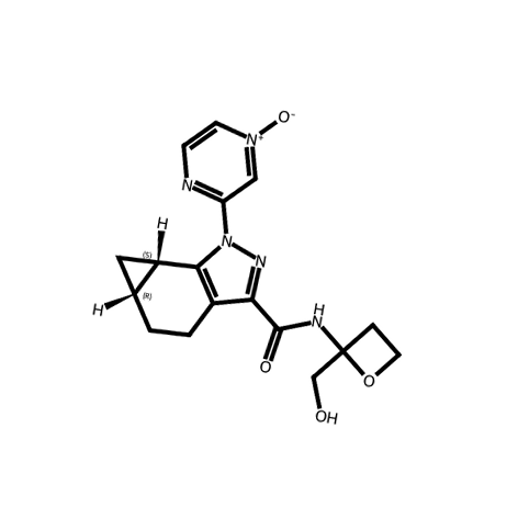 O=C(NC1(CO)CCO1)c1nn(-c2c[n+]([O-])ccn2)c2c1CC[C@@H]1C[C@H]21